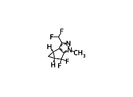 Cn1nc(C(F)F)c2c1C(F)(F)[C@@H]1C[C@H]21